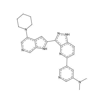 CN(C)c1cncc(-c2ccc3[nH]nc(-c4cc5c(N6CCCCC6)cncc5[nH]4)c3n2)c1